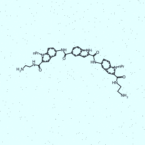 CCCn1c(C(=O)NCCN)cc2cc(NC(=O)c3ccc4[nH]c(C(=O)Nc5ccc6c(c5)cc(C(=O)NCCN)n6CCC)cc4c3)ccc21